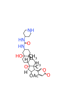 CC(=O)O[C@H]1[C@H]2O[C@]23[C@@H]2CC[C@]4(O)C[C@@H](NC(=O)NC5CCNCC5)CC[C@]4(C)[C@H]2CC[C@]3(C)[C@H]1c1ccc(=O)oc1